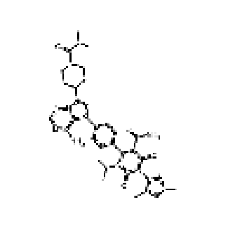 Cc1cn(C)nc1-n1c(=O)c(C(N)=O)c(-c2ccc(-c3cc(C4CCN(C(=O)C(C)C)CC4)n4ncnc(N)c34)cc2)n(C(C)C)c1=O